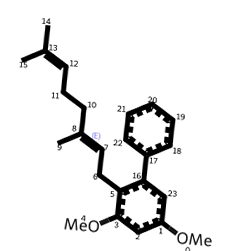 COc1cc(OC)c(C/C=C(\C)CCC=C(C)C)c(-c2ccccc2)c1